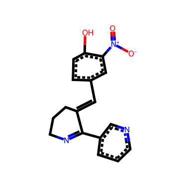 O=[N+]([O-])c1cc(C=C2CCCN=C2c2cccnc2)ccc1O